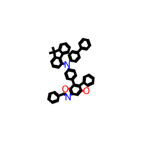 CC1(C)c2ccccc2-c2c(N(c3ccc(-c4ccccc4)cc3)c3ccc(-c4c5oc(-c6ccccc6)nc5cc5oc6ccccc6c45)cc3)cccc21